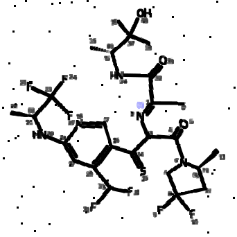 C/C(=N\C(C(=O)N1CC(F)(F)C[C@@H]1C)C(=S)c1cnc(N[C@@H](C)C(F)(F)F)cc1C(F)F)C(=O)N[C@H](C)C(C)(C)O